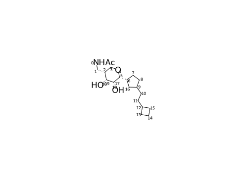 CC(=O)NC[C@@H]1CO[C@H](C2CCC(CCC3CCC3)C2)[C@H](O)[C@@H]1O